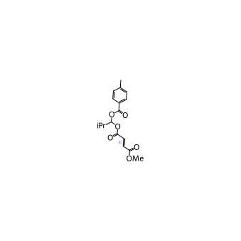 COC(=O)/C=C/C(=O)OC(OC(=O)c1ccc(C)cc1)C(C)C